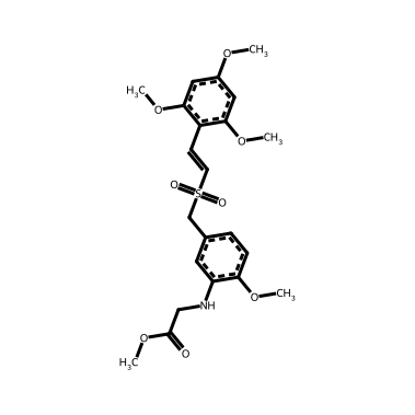 COC(=O)CNc1cc(CS(=O)(=O)/C=C/c2c(OC)cc(OC)cc2OC)ccc1OC